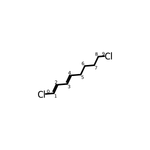 ClC=CC=CCCCCCl